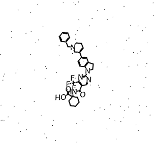 O=C(NC1(C(=O)O)CCCCC1)c1cnc(N2CCc3cc(C4=CCCN(Cc5ccccc5)C4)ccc32)nc1C(F)(F)F